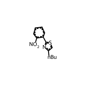 CCCCc1csc(-c2ccccc2[N+](=O)[O-])n1